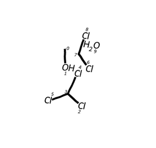 CO.ClC(Cl)Cl.ClCCl.O